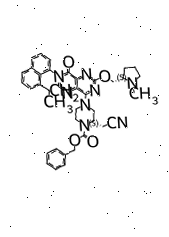 C=C(C)c1cccc2cccc(-n3cnc4c(N5CCN(C(=O)OCc6ccccc6)[C@@H](CC#N)C5)nc(OC[C@@H]5CCCN5C)nc4c3=O)c12